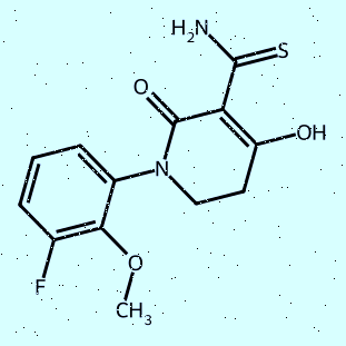 COc1c(F)cccc1N1CCC(O)=C(C(N)=S)C1=O